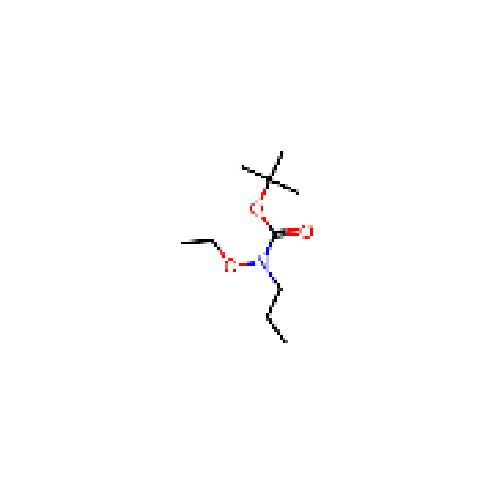 CCCN(OCC)C(=O)OC(C)(C)C